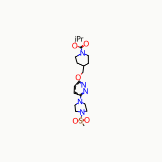 CC(C)OC(=O)N1CCC(COc2ccc(N3CCN(S(C)(=O)=O)CC3)nn2)CC1